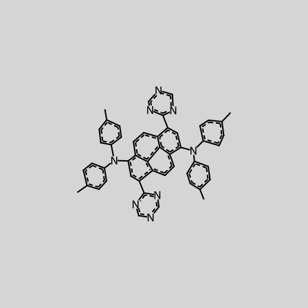 Cc1ccc(N(c2ccc(C)cc2)c2cc(-c3ncncn3)c3ccc4c(N(c5ccc(C)cc5)c5ccc(C)cc5)cc(-c5ncncn5)c5ccc2c3c54)cc1